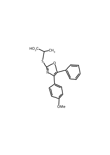 COc1ccc(-c2nc(SC(C)C(=O)O)oc2-c2ccccc2)cc1